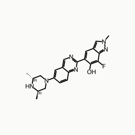 C[C@@H]1CN(c2ccc3nc(-c4cc5cn(C)nc5c(F)c4O)ncc3c2)C[C@@H](C)N1